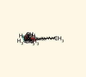 CCCCCCCCCCCCCCCCCCOC(=O)C(C)c1cc(C(C)(C)C)c(OP(F)F)c(C(C)(C)C)c1